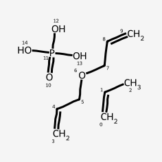 C=CC.C=CCOCC=C.O=P(O)(O)O